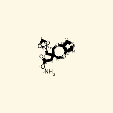 NOC(=O)CC1(CN2OCO2)COc2cscc2OC1